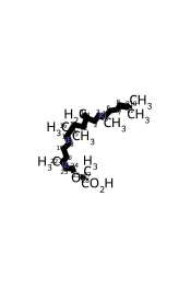 C=C(C/C=C(\C)CCC=C(C)C)CCC(C)(C)/C=C/CC/C(C)=C\COC(C)C(=O)O